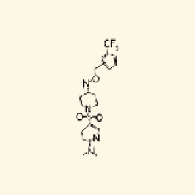 CN(C)c1ccc(S(=O)(=O)N2CCC(=NOCc3cccc(C(F)(F)F)c3)CC2)cn1